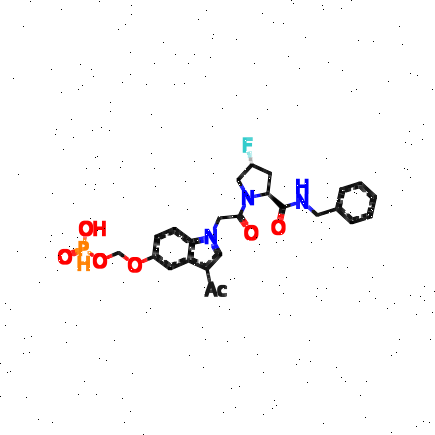 CC(=O)c1cn(CC(=O)N2C[C@H](F)C[C@H]2C(=O)NCc2ccccc2)c2ccc(OCO[PH](=O)O)cc12